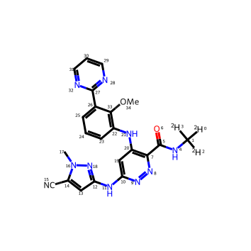 [2H]C([2H])([2H])NC(=O)c1nnc(Nc2cc(C#N)n(C)n2)cc1Nc1cccc(-c2ncccn2)c1OC